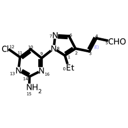 CCc1c(/C=C/C=O)cnn1-c1cc(Cl)nc(N)n1